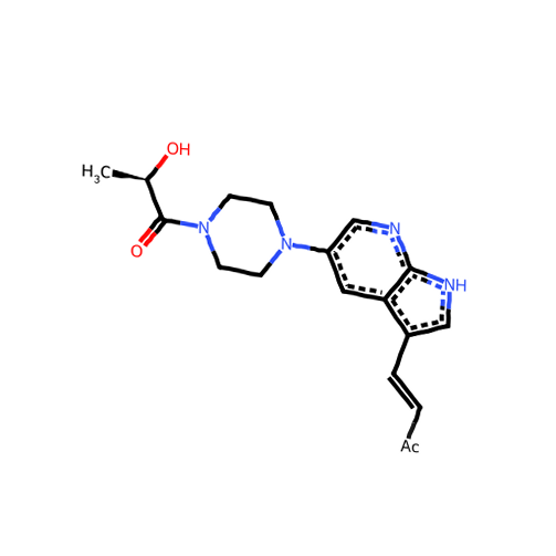 CC(=O)/C=C/c1c[nH]c2ncc(N3CCN(C(=O)[C@@H](C)O)CC3)cc12